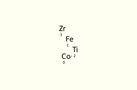 [Co].[Fe].[Ti].[Zr]